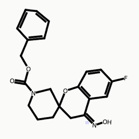 O=C(OCc1ccccc1)N1CCCC2(C/C(=N/O)c3cc(F)ccc3O2)C1